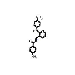 Nc1ccc(C(=O)/C=C/c2cccnc2Nc2ccc([N+](=O)[O-])cc2)cc1